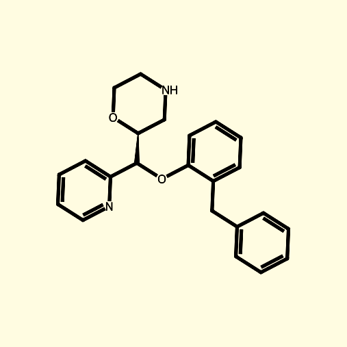 c1ccc(Cc2ccccc2OC(c2ccccn2)[C@@H]2CNCCO2)cc1